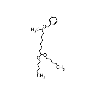 CCCCCOC(CCCCCCC(C)OCc1ccccc1)OCCCCC